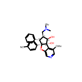 COc1cncc2c1[C@]1(O)[C@H](O)[C@H](CN(C)C(C)(C)C)[C@@H](c3ccccc3)[C@]1(c1ccc(C#N)cc1)O2